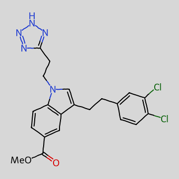 COC(=O)c1ccc2c(c1)c(CCc1ccc(Cl)c(Cl)c1)cn2CCc1nn[nH]n1